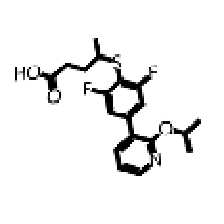 CC(C)Oc1ncccc1-c1cc(F)c(SC(C)CCC(=O)O)c(F)c1